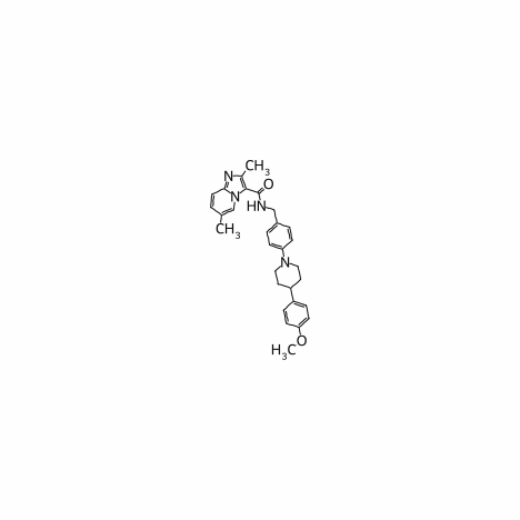 COc1ccc(C2CCN(c3ccc(CNC(=O)c4c(C)nc5ccc(C)cn45)cc3)CC2)cc1